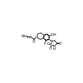 CC(C)(C)CNC(=O)N1CCc2cc(O)c(N3CC(=O)NS3(=O)=O)c(F)c2C1